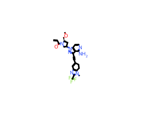 C=CC(=O)N1CC(n2nc(C#CC3=Cc4nc(C(F)(F)F)n(C)c4CC3)c3c(N)nccc32)C[C@@H]1COC